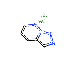 Cl.Cl.c1cnn2nncc2c1